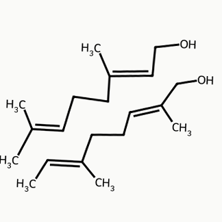 C/C=C(\C)CC/C=C(\C)CO.CC(C)=CCC/C(C)=C/CO